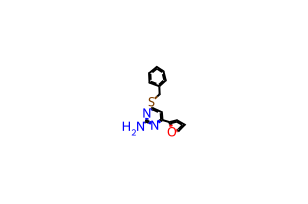 Nc1nc(SCc2ccccc2)cc(-c2ccco2)n1